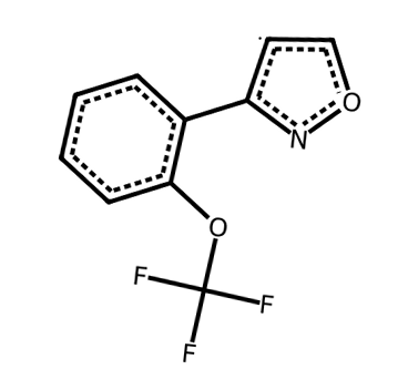 FC(F)(F)Oc1ccccc1-c1[c]con1